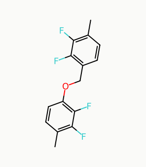 Cc1ccc(COc2ccc(C)c(F)c2F)c(F)c1F